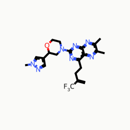 C=C(CCc1nc(N2CCOC(c3cnn(C)c3)C2)nc2nc(C)c(C)nc12)C(F)(F)F